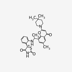 Cc1cc(C(C)Nc2ccccc2[C@H]2SC(=O)NC2=O)c2oc(N3CCC(C)(C)CC3)cc(=O)c2c1